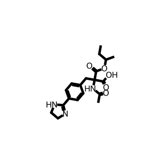 CCC(C)OC(=O)C(Cc1ccc(C2=NCCN2)cc1)(NC(C)=O)C(=O)O